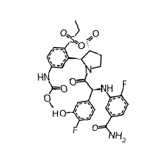 CCS(=O)(=O)c1ccc(NC(=O)OC)cc1[C@H]1[C@H](C=O)CCN1C(=O)[C@@H](Nc1cc(C(N)=O)ccc1F)c1ccc(F)c(O)c1